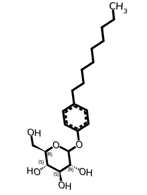 CCCCCCCCCc1ccc(OC2O[C@H](CO)[C@@H](O)[C@H](O)[C@H]2O)cc1